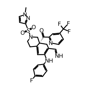 Cn1ccc(S(=O)(=O)N2CCC3=CC(Nc4ccc(F)cc4)=C(C=N)C[C@]3(C(=O)c3cc(C(F)(F)F)ccn3)C2)n1